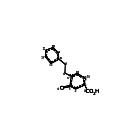 O=C(O)c1cc(=O)n(CCc2ccccc2)cn1